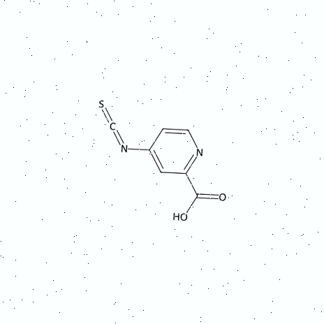 O=C(O)c1cc(N=C=S)ccn1